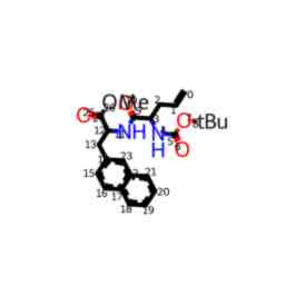 C=CCC(NC(=O)OC(C)(C)C)C(=O)NC(Cc1ccc2ccccc2c1)C(=O)OC